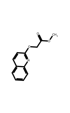 COC(=O)COc1ccc2ccccc2n1